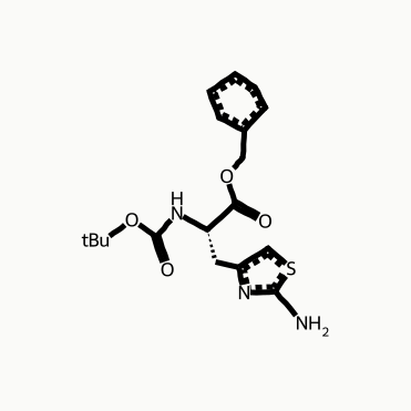 CC(C)(C)OC(=O)N[C@@H](Cc1csc(N)n1)C(=O)OCc1ccccc1